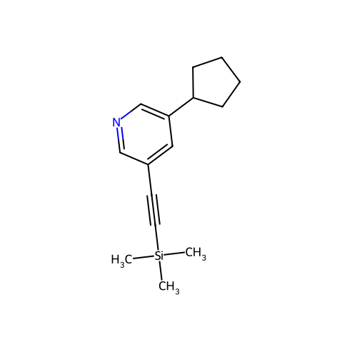 C[Si](C)(C)C#Cc1cncc(C2CCCC2)c1